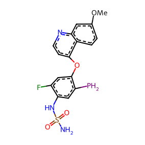 COc1ccc2c(Oc3cc(F)c(NS(N)(=O)=O)cc3P)ccnc2c1